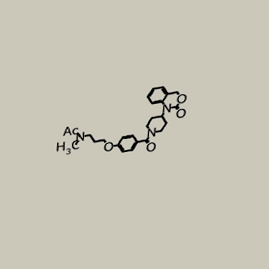 CC(=O)N(C)CCCOc1ccc(C(=O)N2CCC(N3C(=O)OCc4ccccc43)CC2)cc1